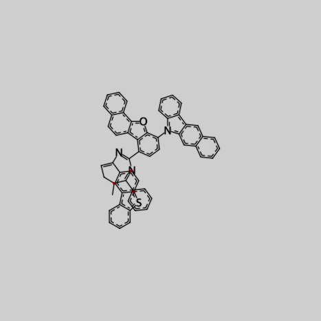 CC1C/C=C(c2ccc3sc4ccccc4c3c2)/N=C(c2ccc(-n3c4ccccc4c4cc5ccccc5cc43)c3oc4c5ccccc5ccc4c23)\N=C/1c1ccccc1